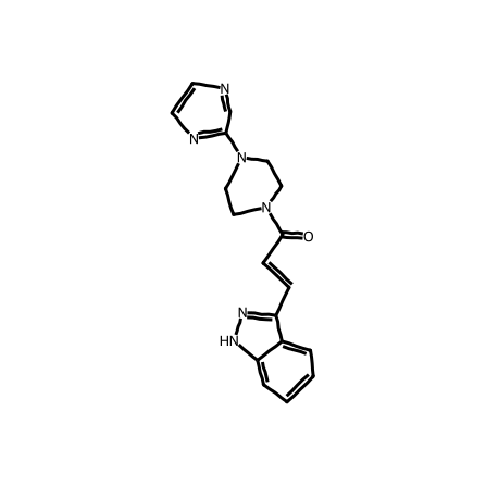 O=C(C=Cc1n[nH]c2ccccc12)N1CCN(c2cnccn2)CC1